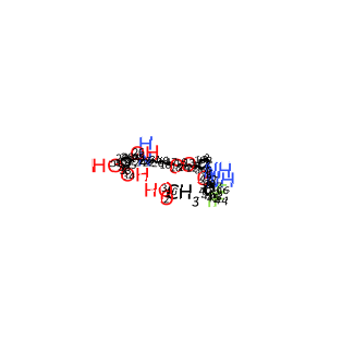 CC(=O)O.O=C(Nc1cccc(COCCOCCCCCCNC[C@H](O)c2ccc(O)c(CO)c2)c1)Nc1cccc(C(F)(F)F)c1